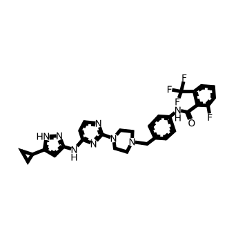 O=C(Nc1ccc(CN2CCN(c3nccc(Nc4cc(C5CC5)[nH]n4)n3)CC2)cc1)c1c(F)cccc1C(F)(F)F